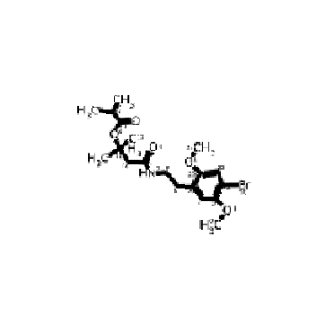 COc1cc(CCNC(=O)CC(C)(C)OC(=O)C(C)C)c(OC)cc1Br